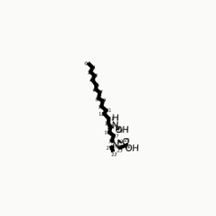 CCCCCCCCCCCCCCCC(CCC[N+](C)(CC)CC(=O)O)NO